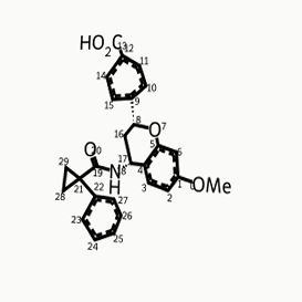 COc1ccc2c(c1)O[C@@H](c1ccc(C(=O)O)cc1)C[C@H]2NC(=O)C1(c2ccccc2)CC1